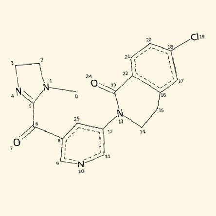 CN1CCN=C1C(=O)c1cncc(N2CCc3cc(Cl)ccc3C2=O)c1